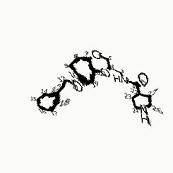 O=C(NC[C@@H]1COc2ccc(OCc3ccccc3)cc2O1)C1CCNCC1